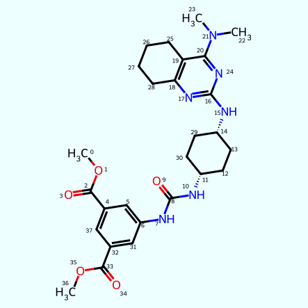 COC(=O)c1cc(NC(=O)N[C@H]2CC[C@@H](Nc3nc4c(c(N(C)C)n3)CCCC4)CC2)cc(C(=O)OC)c1